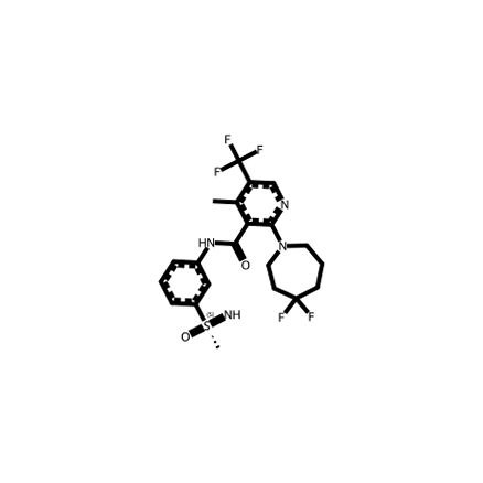 Cc1c(C(F)(F)F)cnc(N2CCCC(F)(F)CC2)c1C(=O)Nc1cccc([S@@](C)(=N)=O)c1